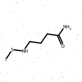 NC(=O)CCCNSI